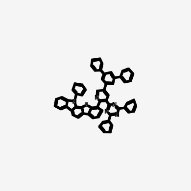 c1ccc(-c2cc(-c3ccccc3)cc(-c3cnc(-c4cccc5c4sc4c5ccc5c6ccccc6n(-c6ccccc6)c54)c(-c4nc(-c5ccccc5)nc(-c5ccccc5)n4)c3)c2)cc1